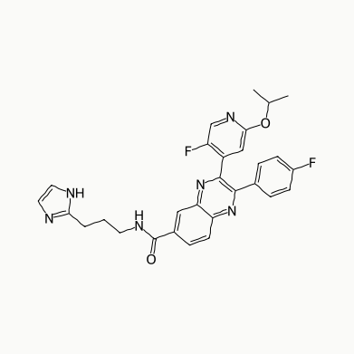 CC(C)Oc1cc(-c2nc3cc(C(=O)NCCCc4ncc[nH]4)ccc3nc2-c2ccc(F)cc2)c(F)cn1